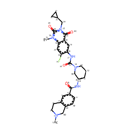 CC(=O)N1CCc2cc(C(=O)N[C@@H]3CCCN(C(=O)Nc4cc5c(=O)n(CC6CC6)c(=O)n(C(C)C)c5cc4F)C3)ccc2C1